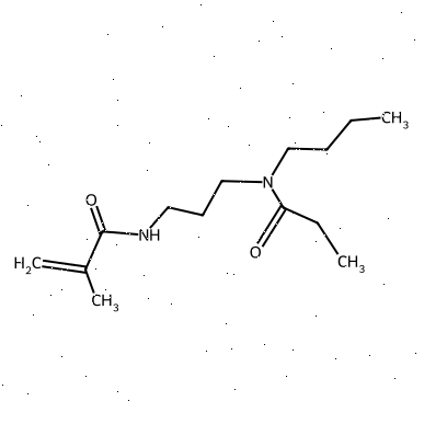 C=C(C)C(=O)NCCCN(CCCC)C(=O)CC